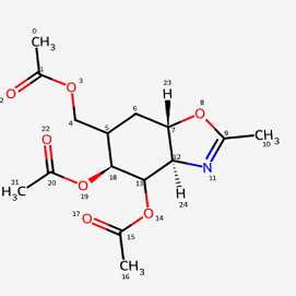 CC(=O)OCC1C[C@@H]2OC(C)=N[C@H]2C(OC(C)=O)[C@H]1OC(C)=O